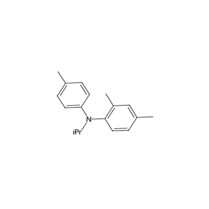 Cc1ccc(N(c2ccc(C)cc2C)C(C)C)cc1